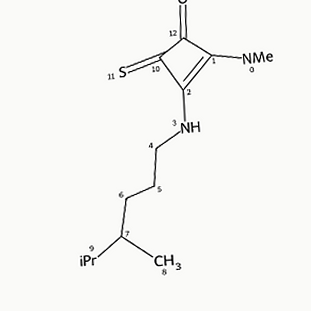 CNc1c(NCCCC(C)C(C)C)c(=S)c1=O